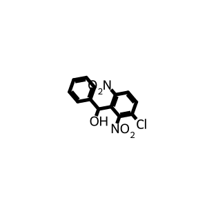 O=[N+]([O-])c1ccc(Cl)c([N+](=O)[O-])c1C(O)c1ccccc1